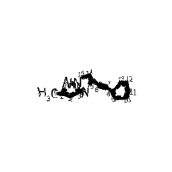 Cc1cc2nc(C#Cc3ccccc3)ccn2n1